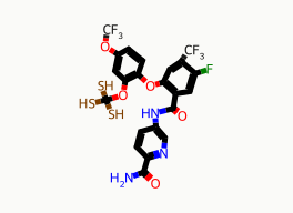 NC(=O)c1ccc(NC(=O)c2cc(F)c(C(F)(F)F)cc2Oc2ccc(OC(F)(F)F)cc2OC(S)(S)S)cn1